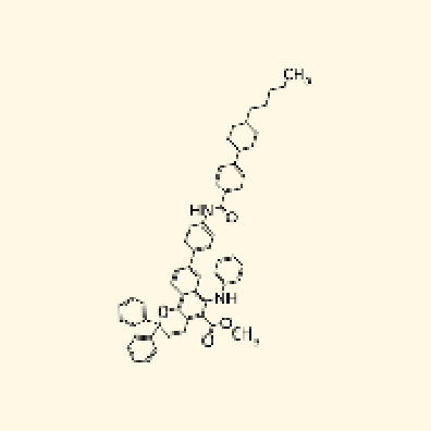 CCCCCC1CCC(c2ccc(C(=O)Nc3ccc(-c4ccc5c6c(c(C(=O)OC)c(Nc7ccccc7)c5c4)C=CC(c4ccccc4)(c4ccccc4)O6)cc3)cc2)CC1